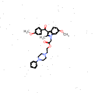 COc1ccc(C(=O)c2c(C)n(CC(=O)OCCN3CCN(c4ccccc4)CC3)c3cc(OC)ccc23)cc1